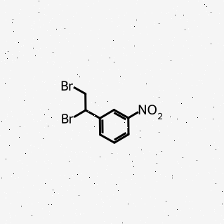 O=[N+]([O-])c1cccc(C(Br)CBr)c1